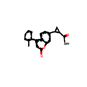 CNC(=O)C1CC1c1ccc2c(-c3ccccc3C)cc(=O)oc2c1